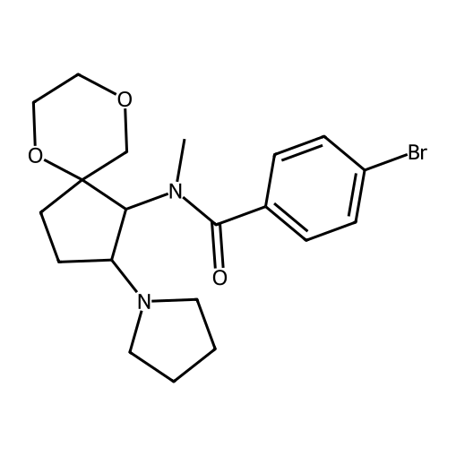 CN(C(=O)c1ccc(Br)cc1)C1C(N2CCCC2)CCC12COCCO2